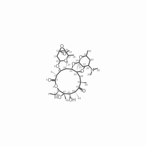 CC[C@H]1OC(=O)[C@H](C)[C@@H](OC2CC3(OC)OC3C(C)O2)[C@H](C)[C@@H](OC2CC(N(C)C)CC(C)O2)[C@@](C)(OC)C[C@@H](C)C(=O)[C@H](C)[C@@H](O)[C@]1(C)O